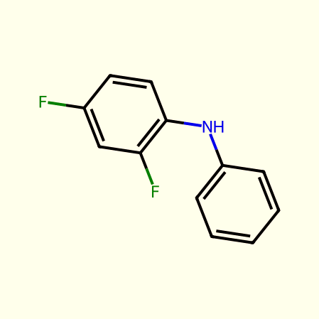 Fc1ccc(Nc2ccccc2)c(F)c1